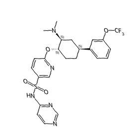 CN(C)[C@H]1C[C@@H](c2cccc(OC(F)(F)F)c2)CC[C@@H]1Oc1ccc(S(=O)(=O)Nc2ccncn2)cn1